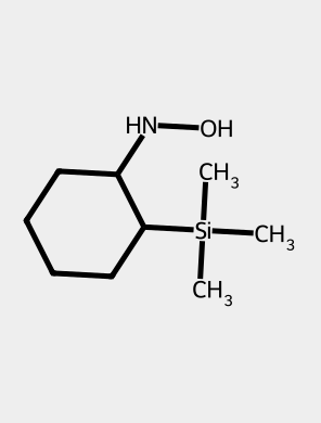 C[Si](C)(C)C1CCCCC1NO